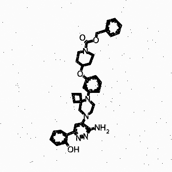 Nc1nnc(-c2ccccc2O)cc1N1CCN(c2cccc(OC3CCN(C(=O)OCc4ccccc4)CC3)c2)C2(CCC2)C1